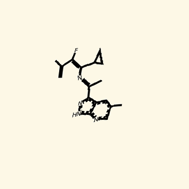 C=C(C)/C(F)=C(\N=C(/C)c1n[nH]c2ncc(C)cc12)C1CC1